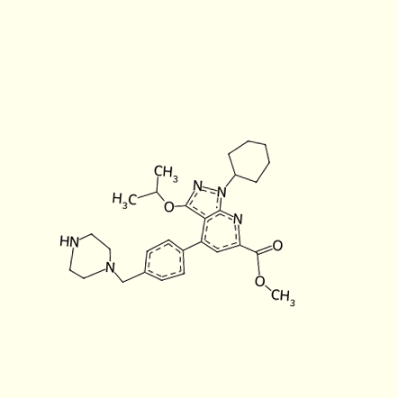 COC(=O)c1cc(-c2ccc(CN3CCNCC3)cc2)c2c(OC(C)C)nn(C3CCCCC3)c2n1